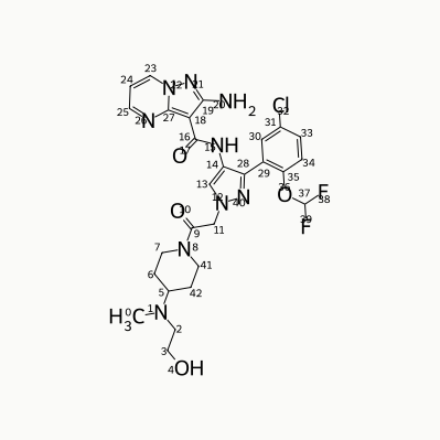 CN(CCO)C1CCN(C(=O)Cn2cc(NC(=O)c3c(N)nn4cccnc34)c(-c3cc(Cl)ccc3OC(F)F)n2)CC1